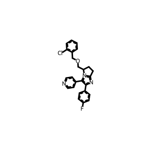 Fc1ccc(-c2nc3n(c2-c2ccncc2)C(COCc2ccccc2Cl)CC3)cc1